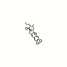 CCCC1C(=O)N2Cc3cc4cc5c(cc4nc3C2CC1C)OCO5